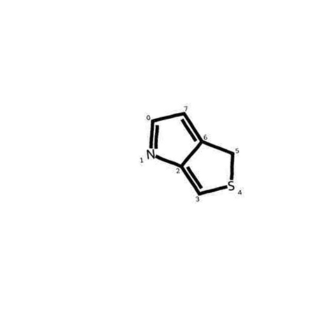 C1=NC2=CSCC2=C1